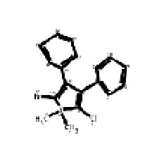 CS1(C)C(Cl)=C(c2ccccc2)C(c2ccccc2)=C1Br